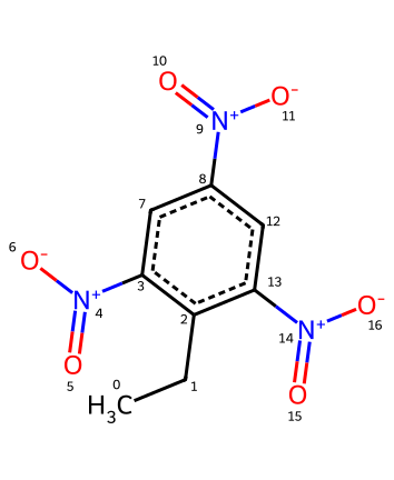 CCc1c([N+](=O)[O-])cc([N+](=O)[O-])cc1[N+](=O)[O-]